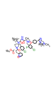 COC[C@H](NC(=O)[C@H](C)NCc1c(F)cc(Cl)cc1Oc1ccc(-c2cnc(CN(C)C)n2C)cc1)C(=O)N(C)[C@@]1(Cc2ccc(Cl)cc2)CCCN(C(=O)[C@@H](CC(=O)OC(C)(C)C)Cc2cccc[n+]2[O-])C1